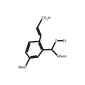 CCCCCC(OCC)c1cc(OC)ccc1C=CC(=O)O